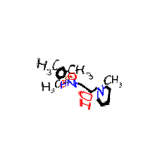 Cc1cc(C)c(S(=O)(=O)NCC(O)CN2CCCCC2C)c(C)c1